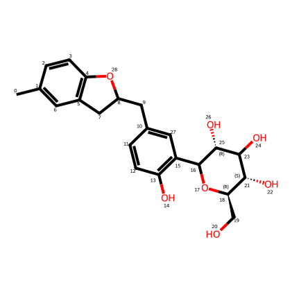 Cc1ccc2c(c1)CC(Cc1ccc(O)c(C3O[C@H](CO)[C@@H](O)C(O)[C@H]3O)c1)O2